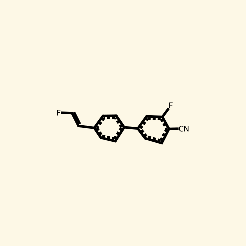 N#Cc1ccc(-c2ccc(C=CF)cc2)cc1F